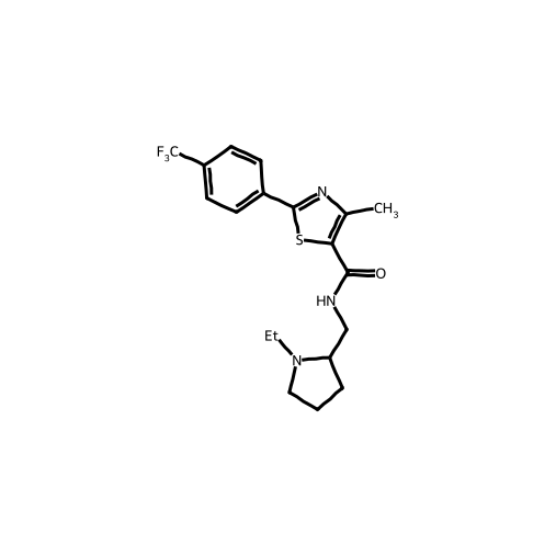 CCN1CCCC1CNC(=O)c1sc(-c2ccc(C(F)(F)F)cc2)nc1C